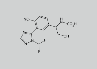 N#Cc1ccc(C(CO)NC(=O)O)cc1-c1ncnn1C(F)F